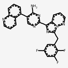 Nc1nc(-c2nc(Cc3cc(F)cc(F)c3F)n3ncccc23)ncc1-c1cccc2ncccc12